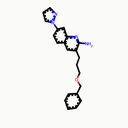 Nc1nc2cc(-n3cccn3)ccc2cc1CCCOCc1ccccc1